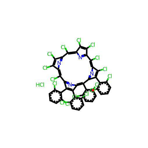 Cl.ClC1=C(Cl)C2=C(Cl)C3=NC(=C(Cl)C4=NC(=C(c5c(Cl)cccc5Cl)C5=NC(=C(Cl)C1=N2)C(Cl)=C5c1c(Cl)cccc1Cl)C(c1c(Cl)cccc1Cl)=C4c1c(Cl)cccc1Cl)C(Cl)=C3Cl